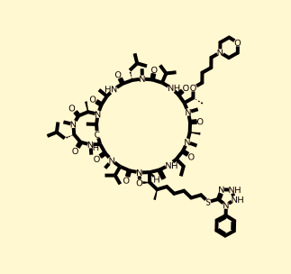 C=C1NC(CC)C(=O)N(C)[C@H](C)C(=O)N(C)C([C@@H](C)OCCCCN2CCOCC2)C(=O)NC(C(C)C)C(=O)N(C)[C@@H](CC(C)C)C(=O)NC(C)C(=O)N2C(C)C[C@@H](C(=O)N(C)C(C(C)C)C(=O)N3O[C@H]([C@H](C)CCCCCSC4=NNNN4c4ccccc4)[C@@H]13)N(C)C(=O)[C@H](CC(C)C)N(C)C(=O)[C@H]2C